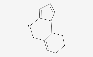 [C]1CC2=CCCCC2C2C=CC=C12